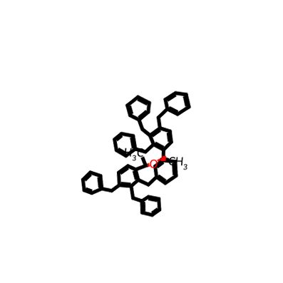 CC(OC(C)c1ccc(Cc2ccccc2)c(Cc2ccccc2)c1Cc1ccccc1)c1ccc(Cc2ccccc2)c(Cc2ccccc2)c1Cc1ccccc1